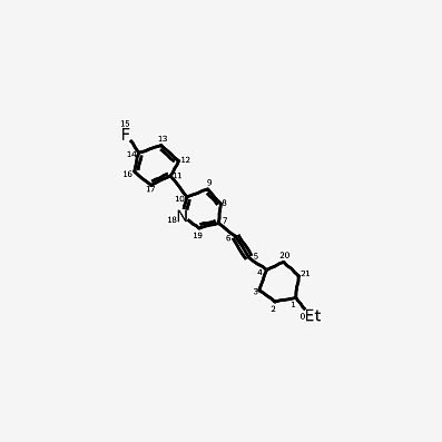 CCC1CCC(C#Cc2ccc(-c3ccc(F)cc3)nc2)CC1